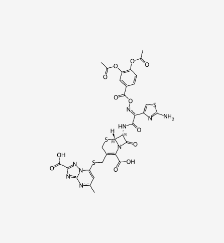 CC(=O)Oc1ccc(C(=O)ON=C(C(=O)N[C@@H]2C(=O)N3C(C(=O)O)=C(CSc4cc(C)nc5nc(C(=O)O)nn45)CS[C@H]23)c2csc(N)n2)cc1OC(C)=O